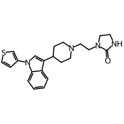 O=C1NCCN1CCN1CCC(c2cn(-c3ccsc3)c3ccccc23)CC1